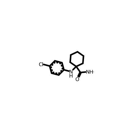 [NH]C(=O)C1(Nc2ccc(Cl)cc2)CCCCC1